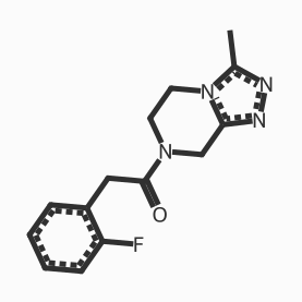 Cc1nnc2n1CCN(C(=O)Cc1ccccc1F)C2